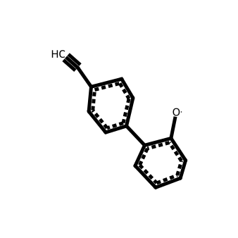 C#Cc1ccc(-c2ccccc2[O])cc1